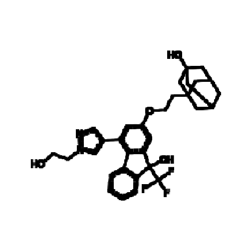 OCCn1cc(-c2cc(OCCC34CC5CC(CC(O)(C5)C3)C4)cc3c2-c2ccccc2C3(O)C(F)(F)F)cn1